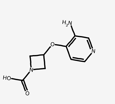 Nc1cnccc1OC1CN(C(=O)O)C1